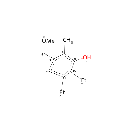 CCc1cc(COC)c(C)c(O)c1CC